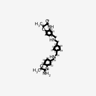 CC1Oc2ccc(CNCc3ccc(CNCc4ccc5c(c4)N=C(N)C(C)O5)cc3)cc2NC1=O